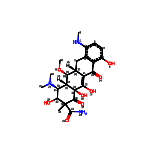 CNc1ccc(O)c2c1C[C@@H]1C(=C(O)[C@]3(O)C(=O)C(C)(C(N)=O)C(O)[C@@H](N(C)C)[C@@H]3[C@H]1OC)C2=O